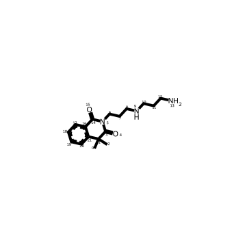 CC1(C)C(=O)N(CCCNCCCN)C(=O)c2ccccc21